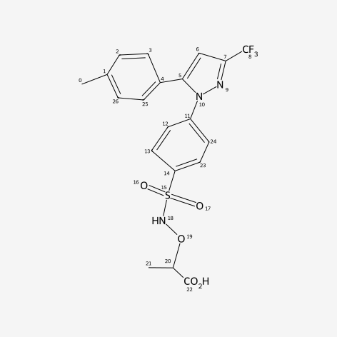 Cc1ccc(-c2cc(C(F)(F)F)nn2-c2ccc(S(=O)(=O)NOC(C)C(=O)O)cc2)cc1